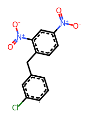 O=[N+]([O-])c1ccc(Cc2cc[c]c(Cl)c2)c([N+](=O)[O-])c1